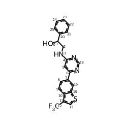 OC(CNc1cc(-c2ccc3c(C(F)(F)F)csc3c2)ncn1)c1ccccc1